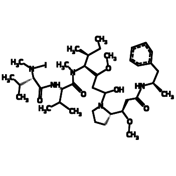 CC[C@H](C)[C@@H](C(CC(O)N1CCC[C@H]1[C@@H](CC(=O)N[C@H](C)Cc1ccccc1)OC)OC)N(C)C(=O)[C@@H](NC(=O)[C@H](C(C)C)N(C)I)C(C)C